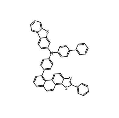 c1ccc(-c2ccc(N(c3ccc(-c4cccc5ccc6c(ccc7nc(-c8ccccc8)sc76)c45)cc3)c3ccc4c(c3)sc3ccccc34)cc2)cc1